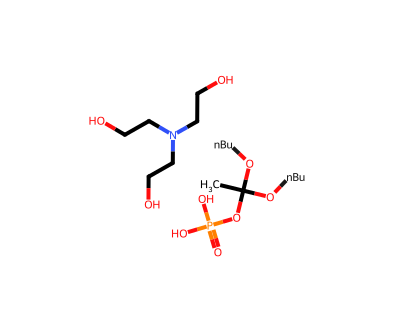 CCCCOC(C)(OCCCC)OP(=O)(O)O.OCCN(CCO)CCO